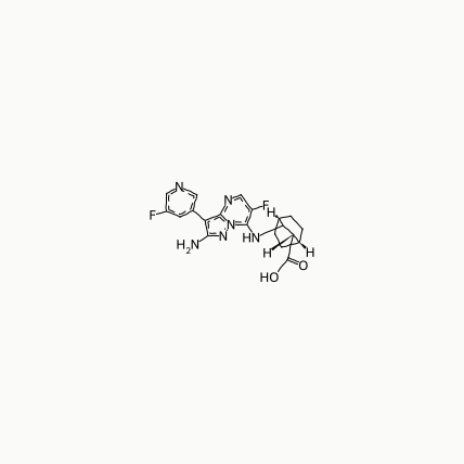 Nc1nn2c(NC3[C@H]4CC[C@H](CC4)[C@@H]3C(=O)O)c(F)cnc2c1-c1cncc(F)c1